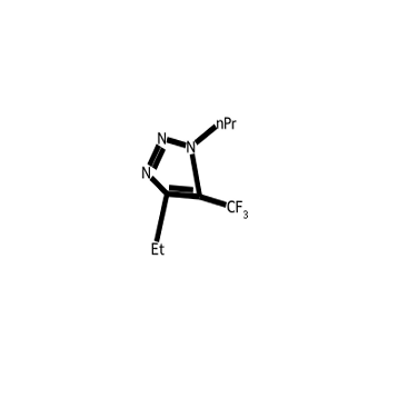 CCCn1nnc(CC)c1C(F)(F)F